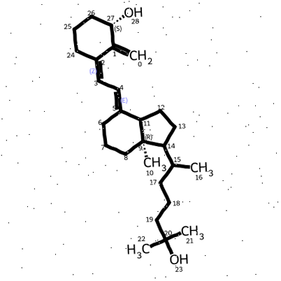 C=C1/C(=C\C=C2/CCC[C@@]3(C)C2CCC3C(C)CCCC(C)(C)O)CCC[C@@H]1O